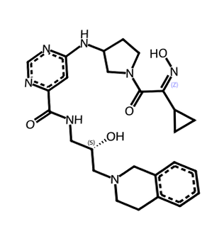 O=C(NC[C@H](O)CN1CCc2ccccc2C1)c1cc(NC2CCN(C(=O)/C(=N\O)C3CC3)C2)ncn1